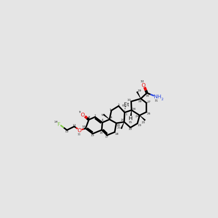 CC[C@@]12CC[C@@]3(C)C4=CC(=O)C(OCCF)=CC4=CCC3[C@@]1(C)CC[C@@]1(C)CC[C@@](C)(C(N)=O)C[C@H]12